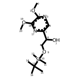 COc1ncc(C(O)CO[Si](C)(C)C(C)(C)C)nc1OC